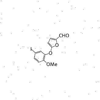 COc1ccc(I)cc1Oc1ccc(C=O)o1